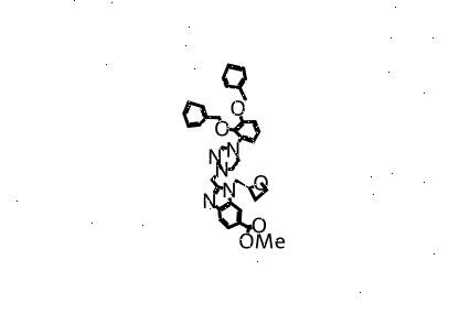 COC(=O)c1ccc2nc(CN3CCN(c4cccc(OCc5ccccc5)c4OCc4ccccc4)C=N3)n(C[C@@H]3CCO3)c2c1